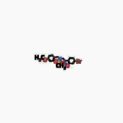 COc1ccc(CN(Cc2noc3cc(Br)ccc23)S(C)(=O)=O)cc1